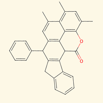 Cc1cc(C)c2c(C)cc3c4c2c1OC(=O)C4C1=C(Cc2ccccc21)C3c1ccccc1